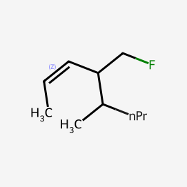 C/C=C\C(CF)C(C)CCC